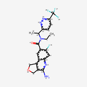 CCN(C(=O)c1cc2c3c(c(N)nc2cc1F)COC3)C(C)c1ccc(C(F)(F)F)nn1